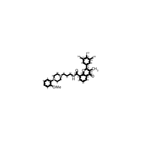 COc1ccccc1N1CCN(CCCNC(=O)c2cccc3c(=O)c(C)c(-c4cc(I)c(I)c(I)c4)oc23)CC1